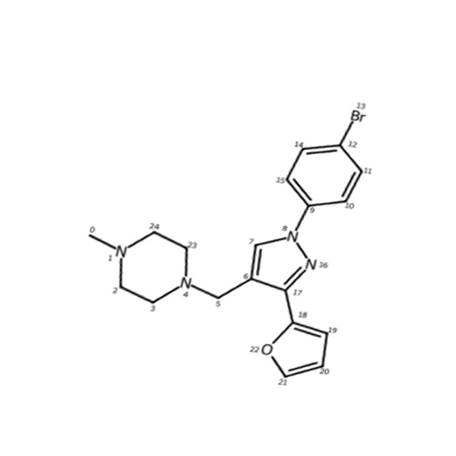 CN1CCN(Cc2cn(-c3ccc(Br)cc3)nc2-c2ccco2)CC1